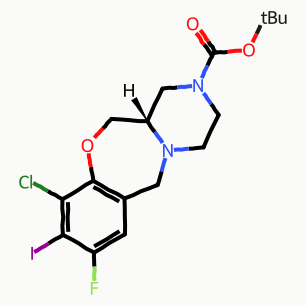 CC(C)(C)OC(=O)N1CCN2Cc3cc(F)c(I)c(Cl)c3OC[C@@H]2C1